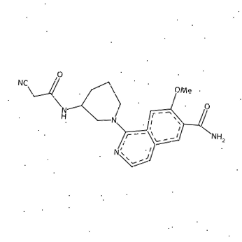 COc1cc2c(N3CCCC(NC(=O)CC#N)C3)nccc2cc1C(N)=O